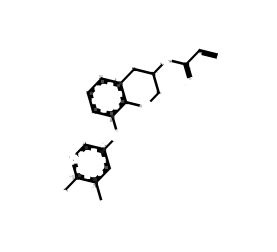 C=CC(=O)NC1COc2c(cccc2Oc2cnc(Cl)c(C)c2)C1